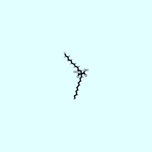 CCCCCCCCCCCC(CCCCCCCCCCC)(C(=O)O)C(=O)O